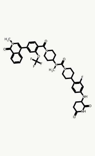 CN(C(=O)N1CCC(c2ccc(NC3CCC(=O)NC3=O)cc2F)CC1)C1CCN(C(=O)c2ccc(-c3cn(C)c(=O)c4ccccc34)cc2OC(F)(F)F)CC1